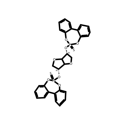 S=P1(O[C@@H]2COC3C2OC[C@H]3OP2(=S)Oc3ccccc3-c3ccccc3O2)Oc2ccccc2-c2ccccc2O1